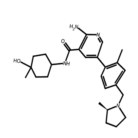 Cc1cc(CN2CCC[C@H]2C)ccc1-c1cnc(N)c(C(=O)NC2CCC(C)(O)CC2)c1